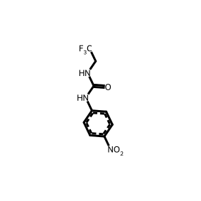 O=C(NCC(F)(F)F)Nc1ccc([N+](=O)[O-])cc1